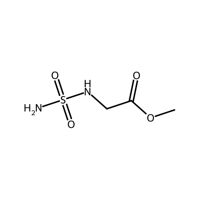 COC(=O)CNS(N)(=O)=O